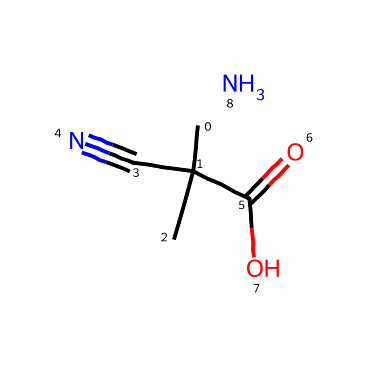 CC(C)(C#N)C(=O)O.N